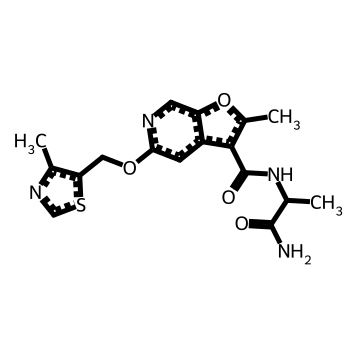 Cc1ncsc1COc1cc2c(C(=O)NC(C)C(N)=O)c(C)oc2cn1